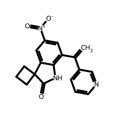 C=C(c1cccnc1)c1cc([N+](=O)[O-])cc2c1NC(=O)C21CCC1